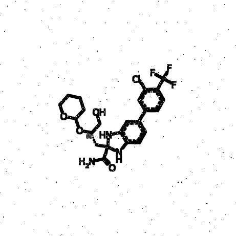 NC(=O)C1(C[C@@H](CO)OC2CCCCO2)Nc2ccc(-c3ccc(C(F)(F)F)c(Cl)c3)cc2N1